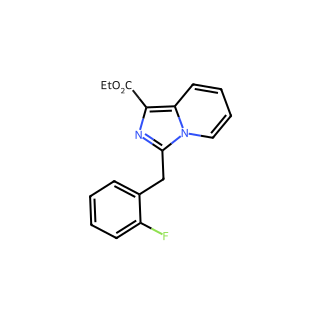 CCOC(=O)c1nc(Cc2ccccc2F)n2ccccc12